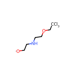 [O]CCNCCOCC(Cl)(Cl)Cl